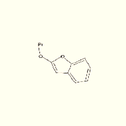 CC(C)Oc1cc2ccccc2o1